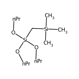 CCCO[Si](C[Si](C)(C)C)(OCCC)OCCC